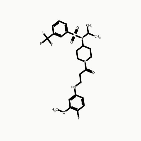 COc1cc(NCCC(=O)N2CCC(N(C(C)C)S(=O)(=O)c3cccc(C(F)(F)F)c3)CC2)ccc1F